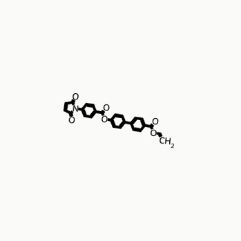 C=COC(=O)c1ccc(-c2ccc(OC(=O)c3ccc(N4C(=O)C=CC4=O)cc3)cc2)cc1